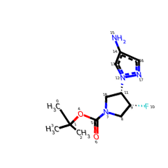 CC(C)(C)OC(=O)N1C[C@@H](F)[C@@H](n2cc(N)cn2)C1